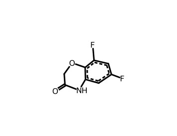 O=C1COc2c(F)cc(F)cc2N1